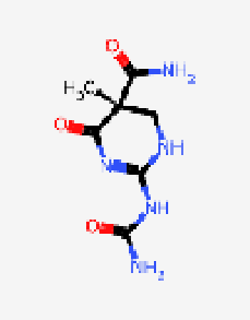 C[C@@]1(C(N)=O)CNC(NC(N)=O)=NC1=O